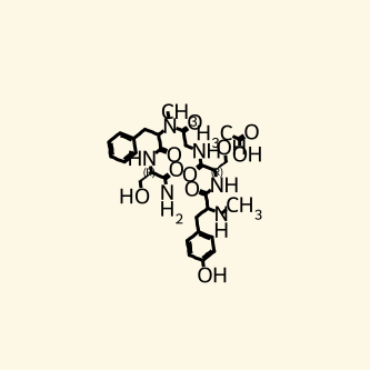 CC(=O)O.CNC(Cc1ccc(O)cc1)C(=O)N[C@H](CO)C(=O)NCC(=O)N(C)C(Cc1ccccc1)C(=O)N[C@H](CO)C(N)=O